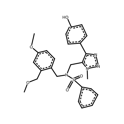 COCc1cc(OC)ccc1CN(Cc1c(-c2ccc(O)cc2)nnn1C)S(=O)(=O)c1ccccc1